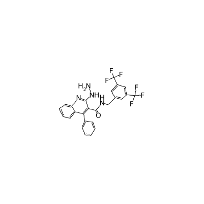 NNc1nc2ccccc2c(-c2ccccc2)c1C(=O)NCc1cc(C(F)(F)F)cc(C(F)(F)F)c1